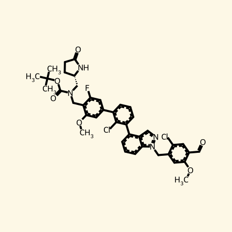 COc1cc(Cn2ncc3c(-c4cccc(-c5cc(F)c(CN(C[C@@H]6CCC(=O)N6)C(=O)OC(C)(C)C)c(OC)c5)c4Cl)cccc32)c(Cl)cc1C=O